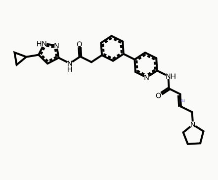 O=C(/C=C/CN1CCCC1)Nc1ccc(-c2cccc(CC(=O)Nc3cc(C4CC4)[nH]n3)c2)cn1